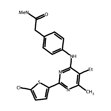 CCc1c(C)nc(-c2ccc(Cl)s2)nc1Nc1ccc(CC(=O)NC)cc1